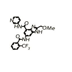 COCc1nc2c(C(=O)Nc3cccnc3)cc(NC(=O)c3ccccc3C(F)(F)F)cc2[nH]1